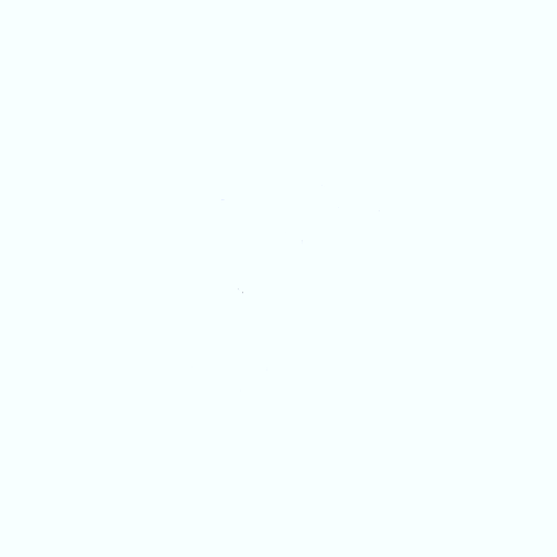 C/C=C(/c1scc(C(=O)OC)c1C)C1CCN(C(=O)OC(C)(C)C)CC1